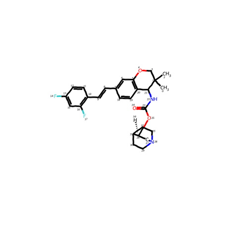 CC1(C)COc2cc(/C=C/c3ccc(F)cc3F)ccc2C1NC(=O)O[C@H]1CN2CCC1CC2